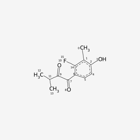 Cc1c(O)ccc(C(=O)C(=O)C(C)C)c1F